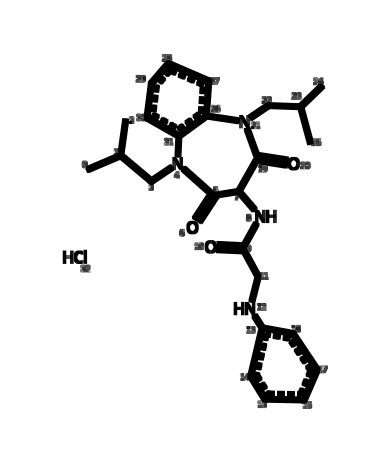 CC(C)CN1C(=O)C(NC(=O)CNc2ccccc2)C(=O)N(CC(C)C)c2ccccc21.Cl